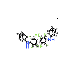 Fc1c(F)c(-c2c(F)c(F)c(NC34CC5CC(C3)C(C5)C4)c(F)c2F)c(F)c(F)c1NC12CC3CC(C1)C(C3)C2